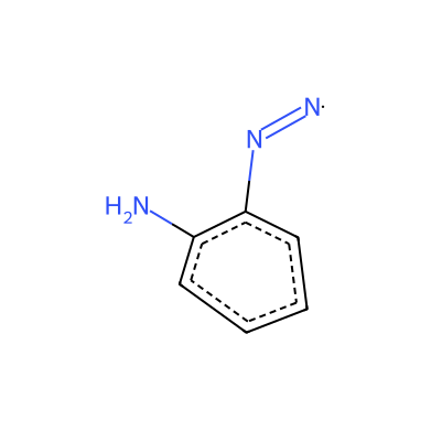 [N]=Nc1ccccc1N